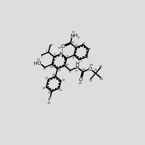 CC(C)c1nc(-c2ccccc2C(N)=O)c(CNC(=O)OC(C)(C)C)c(-c2ccc(F)cc2)c1CO